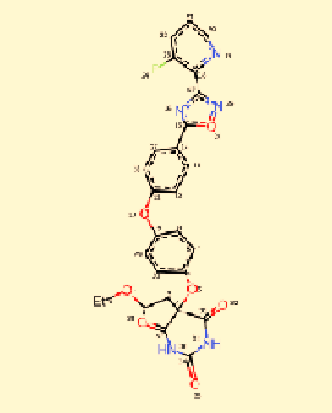 CCOCCC1(Oc2ccc(Oc3ccc(-c4nc(-c5ncccc5F)no4)cc3)cc2)C(=O)NC(=O)NC1=O